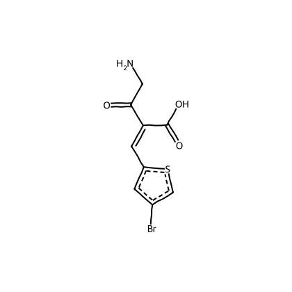 NCC(=O)C(=Cc1cc(Br)cs1)C(=O)O